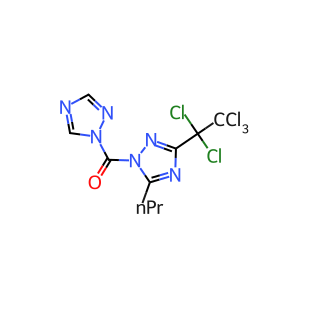 CCCc1nc(C(Cl)(Cl)C(Cl)(Cl)Cl)nn1C(=O)n1cncn1